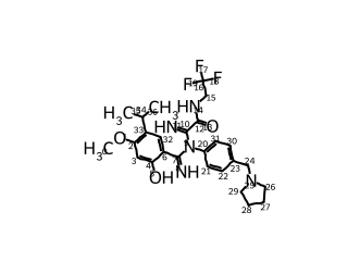 COc1cc(O)c(C(=N)N(C(=N)C(=O)NCC(F)(F)F)c2ccc(CN3CCCC3)cc2)cc1C(C)C